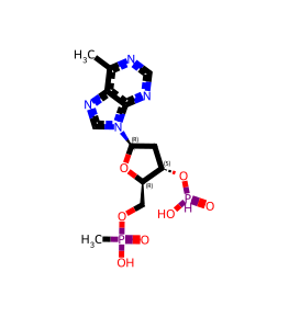 Cc1ncnc2c1ncn2[C@H]1C[C@H](O[PH](=O)O)[C@@H](COP(C)(=O)O)O1